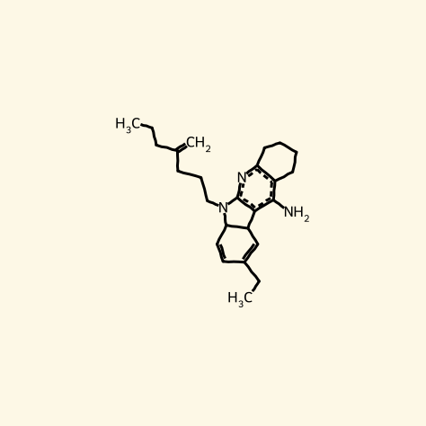 C=C(CCC)CCCN1c2nc3c(c(N)c2C2C=C(CC)C=CC21)CCCC3